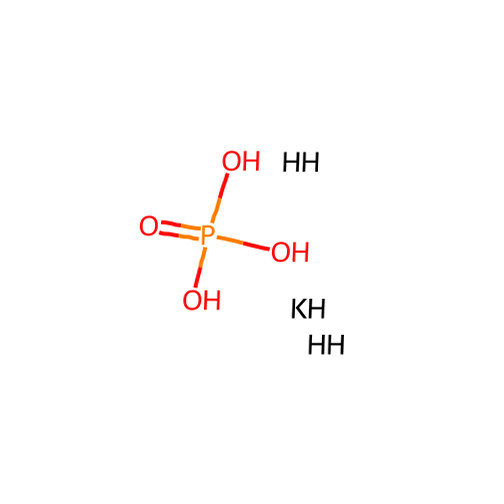 O=P(O)(O)O.[HH].[HH].[KH]